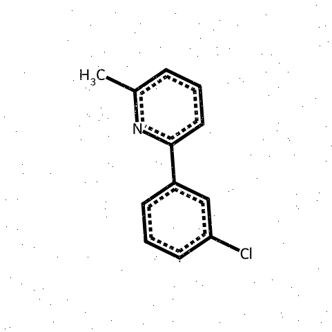 Cc1cccc(-c2cc[c]c(Cl)c2)n1